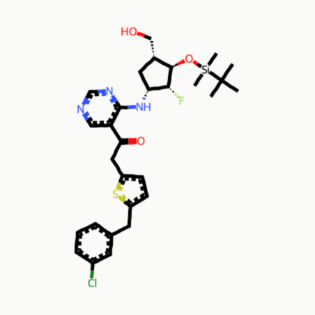 CC(C)(C)[Si](C)(C)O[C@@H]1[C@@H](CO)C[C@@H](Nc2ncncc2C(=O)Cc2ccc(Cc3cccc(Cl)c3)s2)[C@H]1F